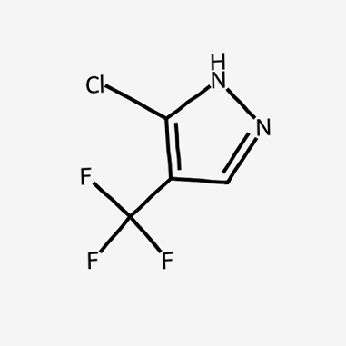 FC(F)(F)c1cn[nH]c1Cl